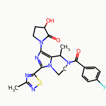 Cc1nsc(-c2nc(N3CCC(O)C3=O)c3n2CCN(C(=O)c2ccc(F)cc2)C3C)n1